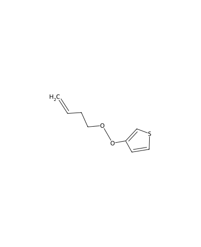 C=CCCOOc1ccsc1